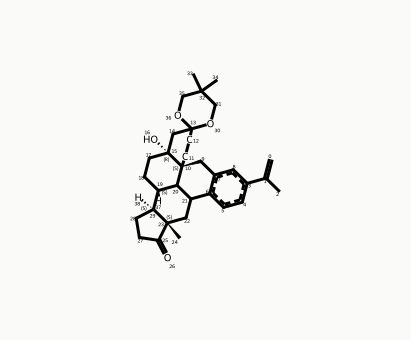 C=C(C)c1ccc2c(c1)C[C@]13CCC4(C[C@]1(O)CC[C@@H]1C3C2C[C@]2(C)C(=O)CC[C@@H]12)OCC(C)(C)CO4